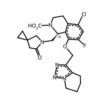 O=C1CC2(CC2)CN1C[C@@H]1c2c(c(Cl)cc(F)c2OCc2nnn3c2CCCC3)CCN1C(=O)O